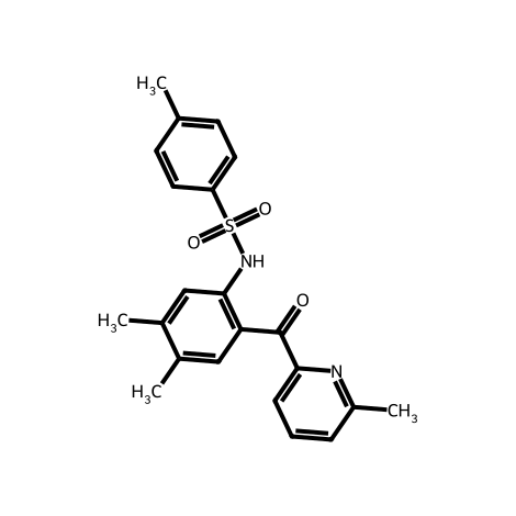 Cc1ccc(S(=O)(=O)Nc2cc(C)c(C)cc2C(=O)c2cccc(C)n2)cc1